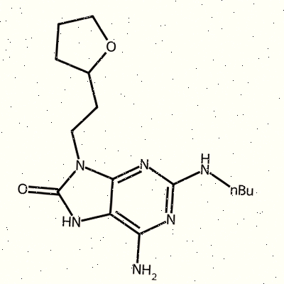 CCCCNc1nc(N)c2[nH]c(=O)n(CCC3CCCO3)c2n1